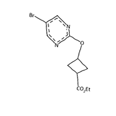 CCOC(=O)C1CC(Oc2ncc(Br)cn2)C1